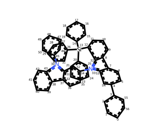 c1ccc(-c2ccc3c4cccc([Si](c5ccccc5)(c5ccccc5)c5ccccc5)c4n(-c4ccc5c6ccccc6n(-c6ccccc6)c5c4)c3c2)cc1